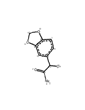 NC(=O)C(Cl)c1ccc2c(c1)OCO2